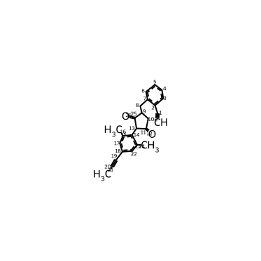 C#Cc1ccccc1CC1CC(=O)C(c2c(C)cc(C#CC)cc2C)C1=O